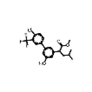 COC(=O)C(CC(C)C)c1cc(O)cc(-c2ccc(Cl)c(C(F)(F)F)c2)c1